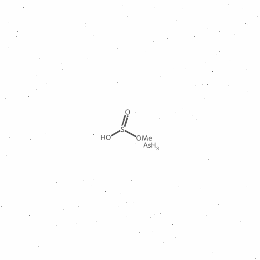 COS(=O)O.[AsH3]